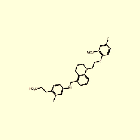 COc1cc(F)ccc1OCCN1CCCc2c(CNc3ccc(CCC(=O)O)c(F)c3)cccc21